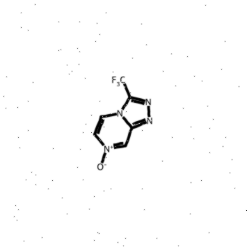 [O-][n+]1ccn2c(C(F)(F)F)nnc2c1